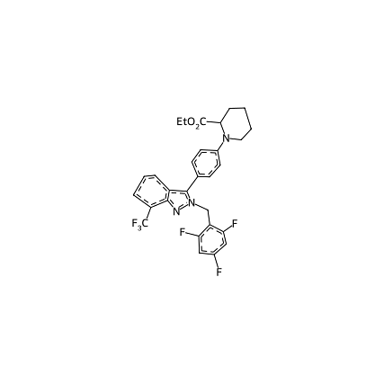 CCOC(=O)C1CCCCN1c1ccc(-c2c3cccc(C(F)(F)F)c3nn2Cc2c(F)cc(F)cc2F)cc1